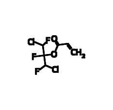 C=CC(=O)OC(F)(C(F)Cl)C(F)Cl